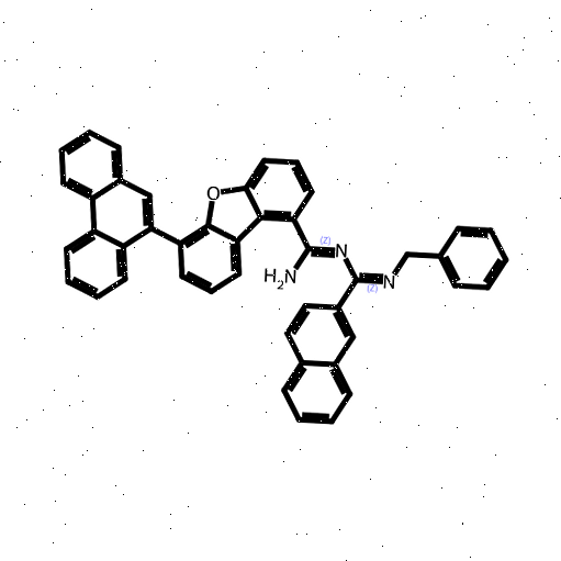 N/C(=N\C(=N/Cc1ccccc1)c1ccc2ccccc2c1)c1cccc2oc3c(-c4cc5ccccc5c5ccccc45)cccc3c12